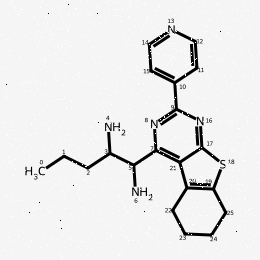 CCCC(N)C(N)c1nc(-c2ccncc2)nc2sc3c(c12)CCCC3